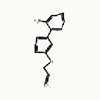 C=CCOc1cccc(-c2ccccc2N)c1